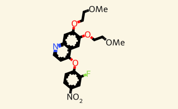 COCCOc1cc2nccc(Oc3ccc([N+](=O)[O-])cc3F)c2cc1OCCOC